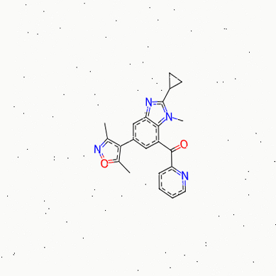 Cc1noc(C)c1-c1cc(C(=O)c2ccccn2)c2c(c1)nc(C1CC1)n2C